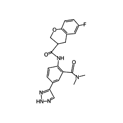 CN(C)C(=O)c1cc(-c2cn[nH]n2)ccc1NC(=O)C1COc2ccc(F)cc2C1